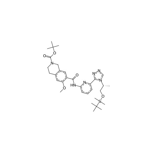 COc1cc2c(cc1C(=O)Nc1cccc(-c3nncn3[C@H](C)CO[Si](C)(C)C(C)(C)C)n1)CN(C(=O)OC(C)(C)C)CC2